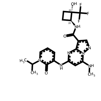 CNc1cc(Nc2cccn(C(C)C)c2=O)nc2c(C(=O)N[C@H]3CC[C@@]3(O)C(F)(F)F)cnn12